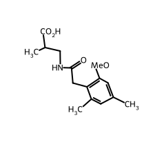 COc1cc(C)cc(C)c1CC(=O)NCC(C)C(=O)O